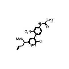 C=CCC(NC)c1cc(-c2ccc(NC(=O)OC)cc2[N+](=O)[O-])c(Cl)nn1